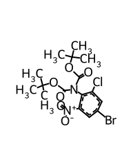 CC(C)(C)OC(=O)N(C(=O)OC(C)(C)C)c1c(Cl)cc(Br)cc1[N+](=O)[O-]